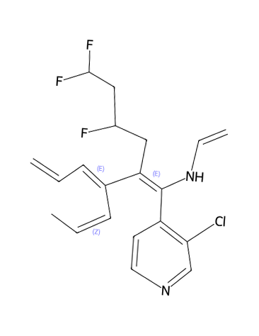 C=C/C=C(\C=C/C)C(/CC(F)CC(F)F)=C(/NC=C)c1ccncc1Cl